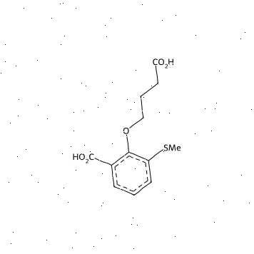 CSc1cccc(C(=O)O)c1OCCCC(=O)O